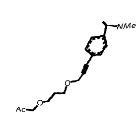 CN[C@H](C)c1ccc(C#CCOCCCOCC(C)=O)cc1